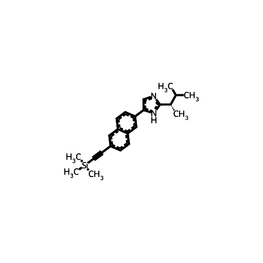 CC(C)[C@H](C)c1ncc(-c2ccc3cc(C#C[Si](C)(C)C)ccc3c2)[nH]1